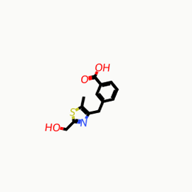 Cc1sc(CO)nc1Cc1cccc(C(=O)O)c1